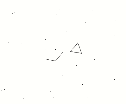 C1CC1.CCC